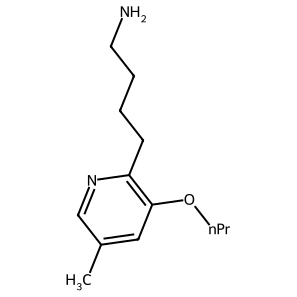 CCCOc1cc(C)cnc1CCCCN